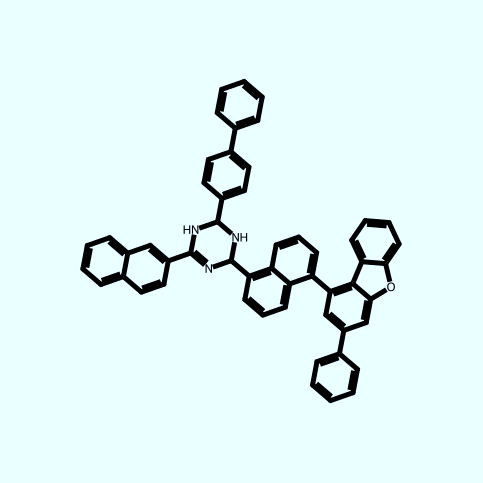 c1ccc(-c2ccc(C3NC(c4ccc5ccccc5c4)=NC(c4cccc5c(-c6cc(-c7ccccc7)cc7oc8ccccc8c67)cccc45)N3)cc2)cc1